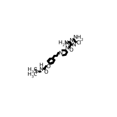 CP(C)CNC(=O)COc1ccc(CCCN2CCCC(NC(=O)c3nc(Cl)c(N)nc3N)C2)cc1